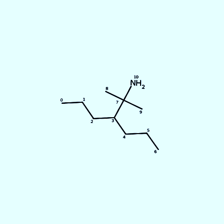 CCCC(CCC)C(C)(C)N